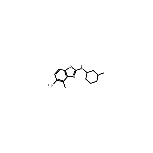 Cc1c(N)ccc2oc(NC3CCCN(C)C3)nc12